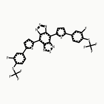 Fc1cc(-c2ccc(-c3c4c(c(-c5ccc(-c6ccc(SC(F)(F)F)c(F)c6)s5)c5nsnc35)N=S=N4)s2)ccc1SC(F)(F)F